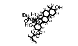 C/C=C(/C)C(=O)O[C@H]1[C@H](O)[C@@]2(COC(=O)C(C)CC)C(C[C@]1(C)S)C1=CCC3[C@@]4(C)CC[C@H](O)C(C)(C)C4CC[C@@]3(C)[C@]1(S)[C@@H](O)[C@H]2O